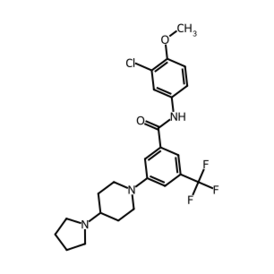 COc1ccc(NC(=O)c2cc(N3CCC(N4CCCC4)CC3)cc(C(F)(F)F)c2)cc1Cl